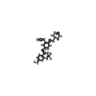 CCc1ccc2c(c1)CC(C)(C)CN2Sc1ccc(OCC2CCOCC2)c(CO)c1